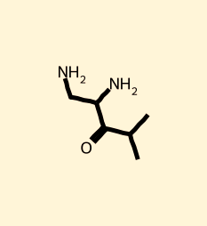 CC(C)C(=O)C(N)CN